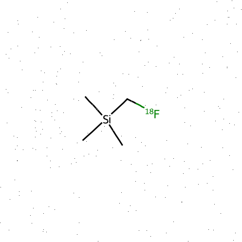 C[Si](C)(C)C[18F]